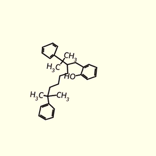 CC(C)(CCCCC(Cc1ccccc1O)C(C)(C)c1ccccc1)c1ccccc1